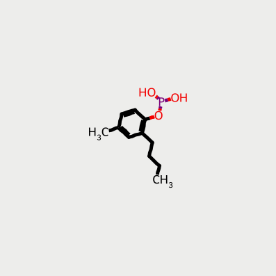 CCCCc1cc(C)ccc1OP(O)O